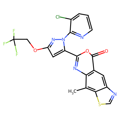 Cc1c2nc(-c3cc(OCC(F)(F)F)nn3-c3ncccc3Cl)oc(=O)c2cc2ncsc12